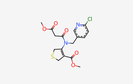 COC(=O)CC(=O)N(Cc1ccc(Cl)nc1)C1=C(C(=O)OC)CSC1